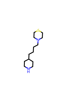 [CH](CCCN1CCSCC1)C1CCNCC1